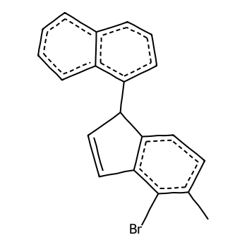 Cc1ccc2c(c1Br)C=CC2c1cccc2ccccc12